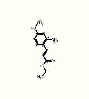 CCOC(=O)/C=C/c1ccc(OC)cc1N